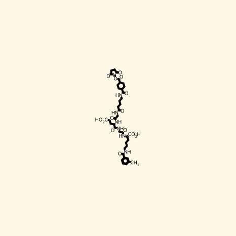 Cc1cccc(C(=O)NCCCCC(NC(=O)CNC(=O)C(CCC(=O)O)NC(=O)CNC(=O)CCCCNC(=O)C2CCC(C(=O)ON3C(=O)CCC3=O)CC2)C(=O)O)c1